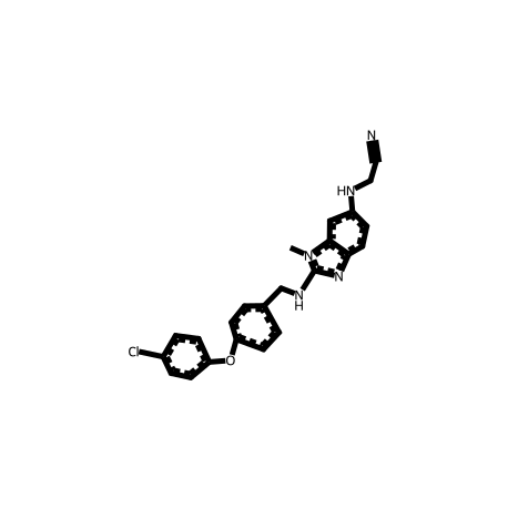 Cn1c(NCc2ccc(Oc3ccc(Cl)cc3)cc2)nc2ccc(NCC#N)cc21